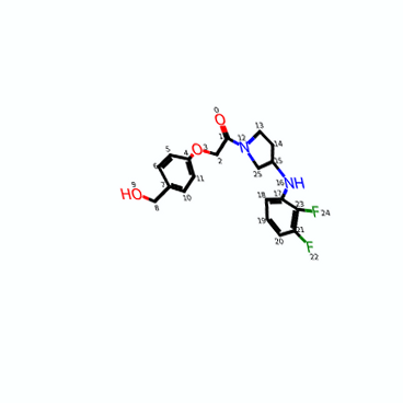 O=C(COc1ccc(CO)cc1)N1CCC(Nc2cccc(F)c2F)C1